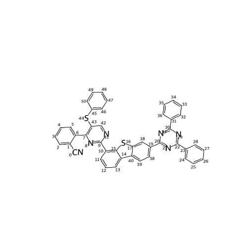 N#Cc1ccccc1-c1nc(-c2cccc3c2sc2cc(-c4nc(-c5ccccc5)nc(-c5ccccc5)n4)ccc23)ncc1Sc1ccccc1